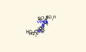 Cc1nn(CCC(=O)O)c(NCCS(=O)(=O)O)c1N=Nc1ccc(N(CC(=O)O)CC(=O)O)c2ncccc12